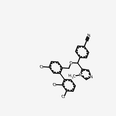 Cn1cncc1C(OCc1ccc(Cl)cc1-c1cccc(Cl)c1Cl)c1ccc(C#N)cc1